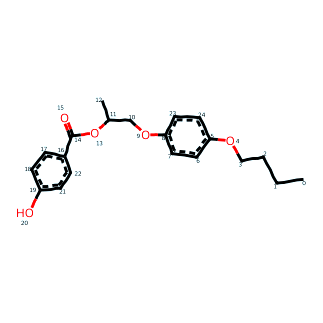 CCCCOc1ccc(OCC(C)OC(=O)c2ccc(O)cc2)cc1